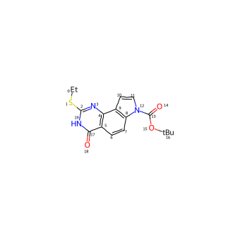 CCSc1nc2c(ccc3c2ccn3C(=O)OC(C)(C)C)c(=O)[nH]1